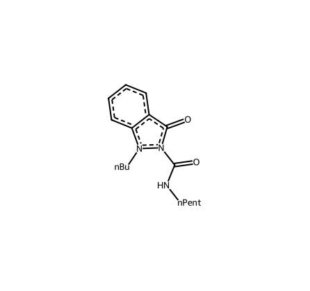 CCCCCNC(=O)n1c(=O)c2ccccc2n1CCCC